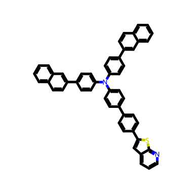 c1ccc2cc(-c3ccc(N(c4ccc(-c5ccc(-c6cc7cccnc7s6)cc5)cc4)c4ccc(-c5ccc6ccccc6c5)cc4)cc3)ccc2c1